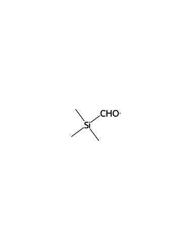 C[Si](C)(C)[C]=O